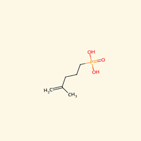 C=C(C)CCCP(=O)(O)O